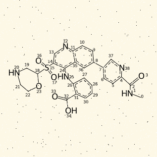 CNC(=O)c1ccc(-c2ccc3ncc(S(=O)(=O)C4CNCCO4)c(Nc4ccccc4C(=O)O)c3c2)cn1